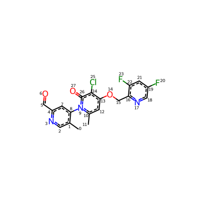 Cc1cnc(C=O)cc1-n1c(C)cc(OCc2ncc(F)cc2F)c(Cl)c1=O